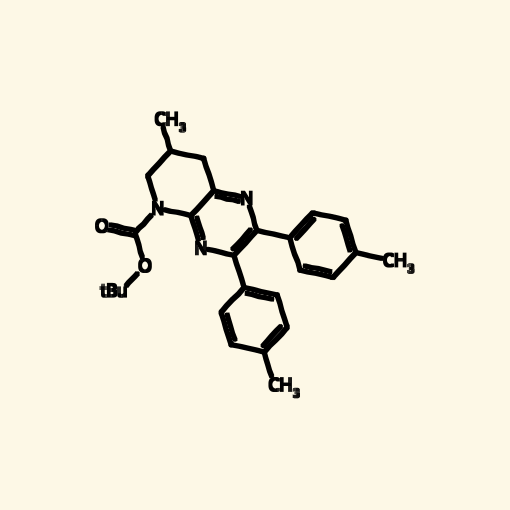 Cc1ccc(-c2nc3c(nc2-c2ccc(C)cc2)N(C(=O)OC(C)(C)C)CC(C)C3)cc1